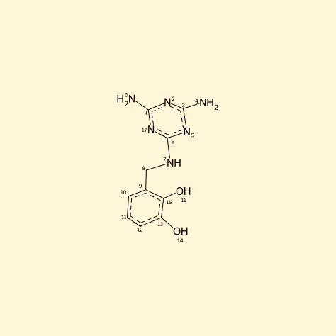 Nc1nc(N)nc(NCc2cccc(O)c2O)n1